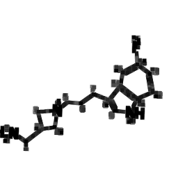 NCC1CN(CCCc2c[nH]c3ccc(F)cc23)C1